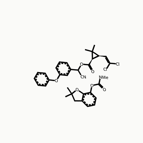 CC1(C)[C@H](C(=O)OC(C#N)c2cccc(Oc3ccccc3)c2)[C@@H]1C=C(Cl)Cl.CNC(=O)Oc1cccc2c1OC(C)(C)C2